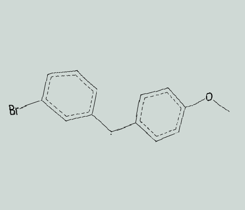 COc1ccc([CH]c2cccc(Br)c2)cc1